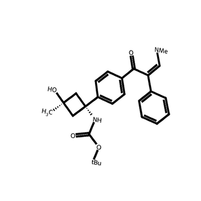 CN/C=C(\C(=O)c1ccc([C@]2(NC(=O)OC(C)(C)C)C[C@](C)(O)C2)cc1)c1ccccc1